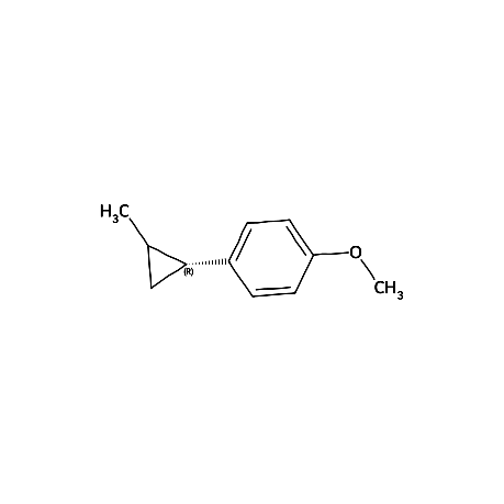 COc1ccc([C@@H]2CC2C)cc1